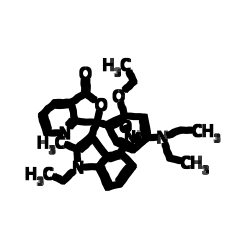 CCOc1cc(N(CC)CC)ccc1C1(c2c(C)n(CC)c3cccc([N+](=O)[O-])c23)OC(=O)c2cccnc21